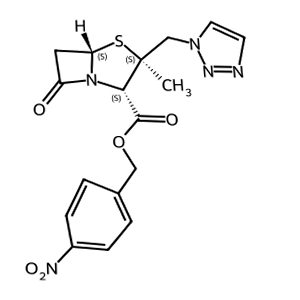 C[C@@]1(Cn2ccnn2)S[C@H]2CC(=O)N2[C@H]1C(=O)OCc1ccc([N+](=O)[O-])cc1